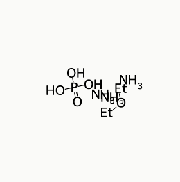 CCOCC.N.N.N.O=P(O)(O)O